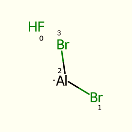 F.[Br][Al][Br]